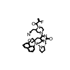 C=C(F)C(=O)N1CCN(c2nc(=O)n(C[C@@H]3CCCN3C)c3c2CC2(COC2)N(c2cccc4cccc(C)c24)C3)CC1CC#N